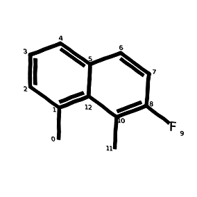 Cc1cccc2ccc(F)c(C)c12